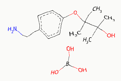 CC(C)(O)C(C)(C)Oc1ccc(CN)cc1.OB(O)O